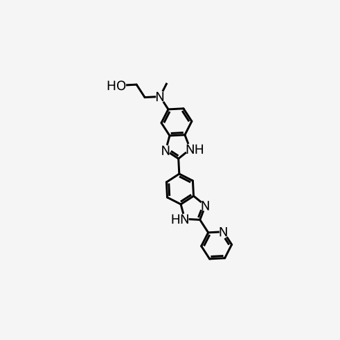 CN(CCO)c1ccc2[nH]c(-c3ccc4[nH]c(-c5ccccn5)nc4c3)nc2c1